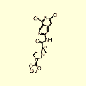 CC(C)(C)OC(=O)N1CC[C@]2(C[C@@H]2C(=O)Nc2cc3cc(Cl)nc(Cl)c3cn2)C1